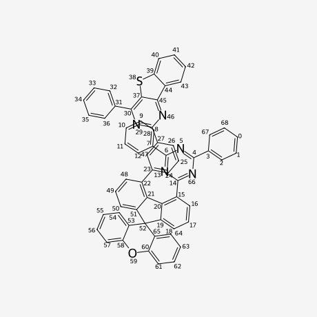 c1ccc(-c2nc(-c3ccccc3)nc(-c3cccc4c3-c3c(-c5cccc(-c6nc(-c7ccccc7)c7sc8ccccc8c7n6)c5)cccc3C43c4ccccc4Oc4ccccc43)n2)cc1